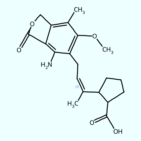 COc1c(C)c2c(c(N)c1C/C=C(/C)C1CCCC1C(=O)O)C(=O)OC2